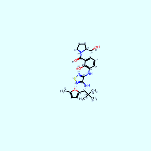 Cc1ccc([C@H](Nc2nsnc2Nc2cccc(C(=O)N3CCC[C@H]3CO)c2O)C(C)(C)C)o1